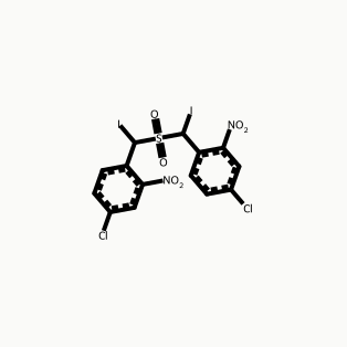 O=[N+]([O-])c1cc(Cl)ccc1C(I)S(=O)(=O)C(I)c1ccc(Cl)cc1[N+](=O)[O-]